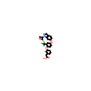 O=C(O)Cc1cccc(Oc2ccc(Oc3ccc4cnn(C5COC5)c4c3)cc2C(F)(F)F)c1